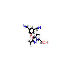 CCc1c(Oc2cc(C#N)cc(C#N)c2)c(C(C)C)nn1CCO